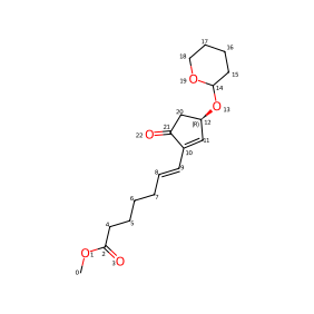 COC(=O)CCCCC=CC1=C[C@H](OC2CCCCO2)CC1=O